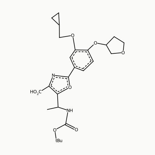 CC(NC(=O)OC(C)(C)C)c1oc(-c2ccc(OC3CCOC3)c(OCC3CC3)c2)nc1C(=O)O